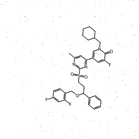 Cc1cc(-c2cc(F)c(=O)n(CC3CCCCC3)c2)nc(S(=O)(=O)CCC(OCc2ccc(F)cc2F)c2ccccc2)n1